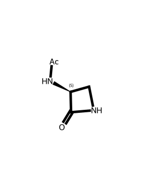 CC(=O)N[C@H]1CNC1=O